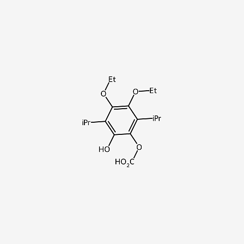 CCOc1c(OCC)c(C(C)C)c(OC(=O)O)c(O)c1C(C)C